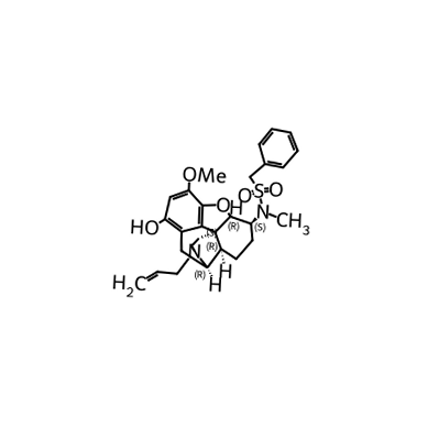 C=CCN1CC[C@]23c4c5c(O)cc(OC)c4O[C@H]2[C@@H](N(C)S(=O)(=O)Cc2ccccc2)CC[C@H]3[C@H]1C5